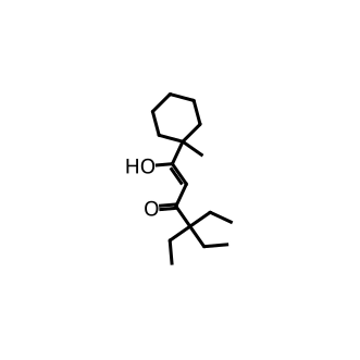 CCC(CC)(CC)C(=O)/C=C(\O)C1(C)CCCCC1